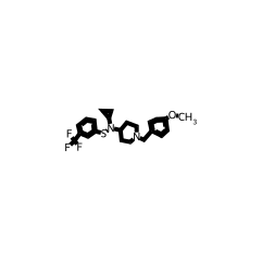 COc1ccc(CN2CCC(N(Sc3cccc(C(F)(F)F)c3)C3CC3)CC2)cc1